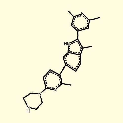 Cc1cc(-c2[nH]c3cc(-c4ccc(N5CCNCC5)nc4C)ccc3c2C)cc(C)n1